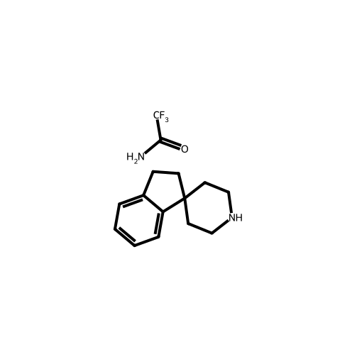 NC(=O)C(F)(F)F.c1ccc2c(c1)CCC21CCNCC1